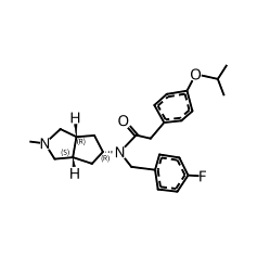 CC(C)Oc1ccc(CC(=O)N(Cc2ccc(F)cc2)[C@@H]2C[C@@H]3CN(C)C[C@@H]3C2)cc1